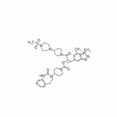 Cc1cc(C[C@@H](OC(=O)N2CCC(N3CCc4ccccc4NC3=O)CC2)C(=O)N2CCC(N3CCN(S(C)(=O)=O)CC3)CC2)cc2nnn(C)c12